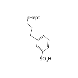 CCCCCCCCCCc1cccc(S(=O)(=O)O)c1